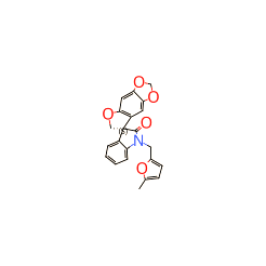 Cc1ccc(CN2C(=O)[C@@]3(COc4cc5c(cc43)OCO5)c3ccccc32)o1